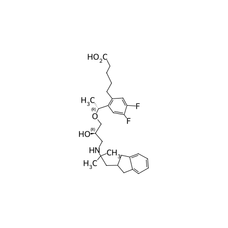 C[C@@H](OC[C@H](O)CNC(C)(C)CC1Cc2ccccc2C1)c1cc(F)c(F)cc1CCCCC(=O)O